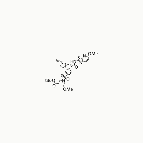 COCCN(CCC(=O)OC(C)(C)C)S(=O)(=O)c1ccc2c(c1)C1(CCN(C(C)=O)C1)CN2C(=O)Nc1nc2ccc(OC)nc2s1